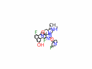 C#Cc1c(F)ccc2cc(O)cc(-c3nc4c5c(nc(OC[C@@]67CCCN6C[C@H](F)C7)nc5c3F)N3CCN[C@@H](CC)C3CCO4)c12